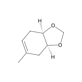 CC1=CC[C@H]2OCO[C@H]2C1